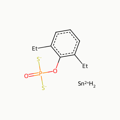 CCc1cccc(CC)c1OP(=O)([S-])[S-].[SnH2+2]